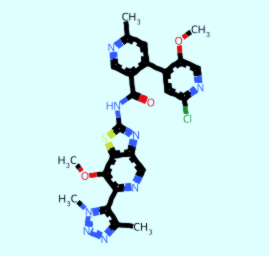 COc1cnc(Cl)cc1-c1cc(C)ncc1C(=O)Nc1nc2cnc(-c3c(C)nnn3C)c(OC)c2s1